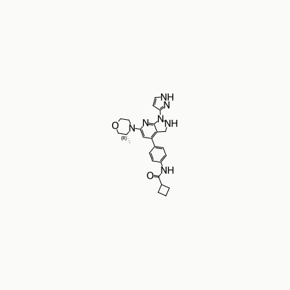 C[C@@H]1COCCN1c1cc(-c2ccc(NC(=O)C3CCC3)cc2)c2c(n1)N(c1cc[nH]n1)NC2